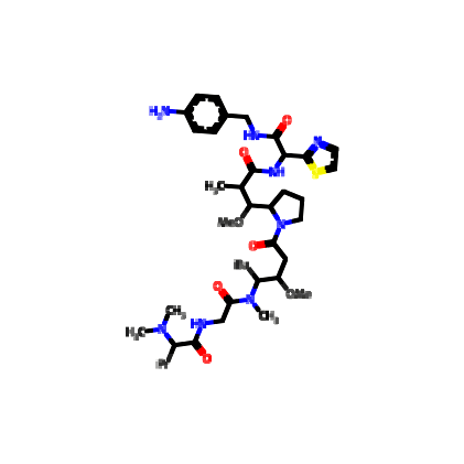 CCC(C)C(C(CC(=O)N1CCCC1C(OC)C(C)C(=O)NC(C(=O)NCc1ccc(N)cc1)c1nccs1)OC)N(C)C(=O)CNC(=O)C(C(C)C)N(C)C